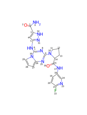 NC(=O)c1cc(Nc2nc(N3CCCC3C(=O)Nc3ccc(F)nc3)nc3cccn23)n[nH]1